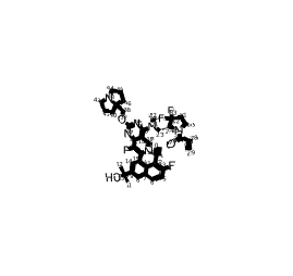 C#Cc1c(F)ccc2cc(C(C)(C)O)cc(-c3ncc4c(N(C)C[C@H]5N(C(=O)C=C)CCC5(F)F)nc(OCC56CCCN5CCC6)nc4c3F)c12